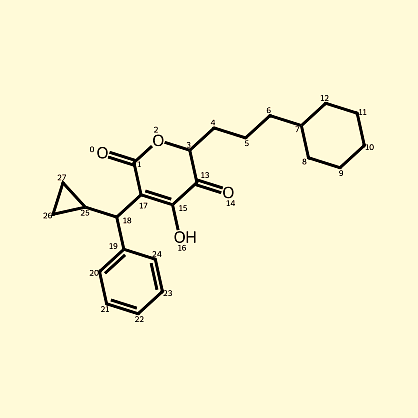 O=C1OC(CCCC2CCCCC2)C(=O)C(O)=C1C(c1ccccc1)C1CC1